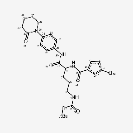 CC(C)(C)OC(=O)NCCCC(NC(=O)c1ccc(Cl)s1)C(=O)Nc1ccc(N2CCOCC2=O)cc1